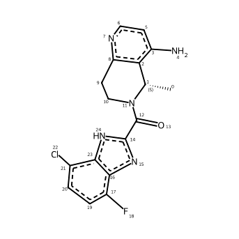 C[C@H]1c2c(N)ccnc2CCN1C(=O)c1nc2c(F)ccc(Cl)c2[nH]1